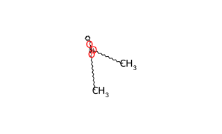 CCCCCCCCCCCCCCCCCCOC[C@H](CCOCc1ccccc1)OCCCCCCCCCCCCCCCC